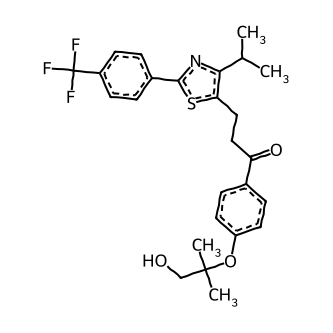 CC(C)c1nc(-c2ccc(C(F)(F)F)cc2)sc1CCC(=O)c1ccc(OC(C)(C)CO)cc1